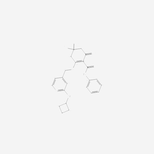 CC1(C)CC(=O)C(C(=S)Nc2ccccc2)=C(NCc2ccnc(NC3CCC3)c2)C1